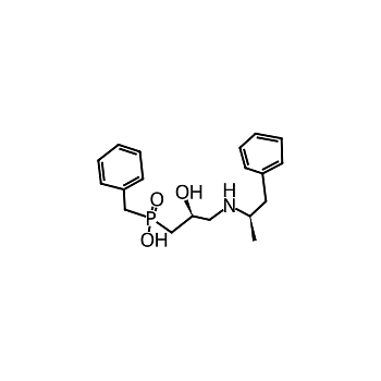 C[C@H](Cc1ccccc1)NC[C@H](O)CP(=O)(O)Cc1ccccc1